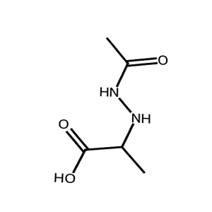 CC(=O)NNC(C)C(=O)O